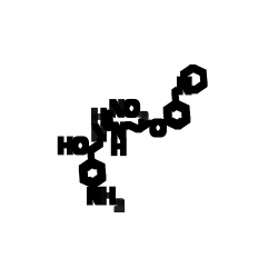 Nc1ccc(C(O)CN/C(=C/[N+](=O)[O-])NCCCOc2cccc(CN3CCCCC3)c2)cc1